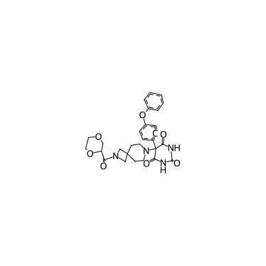 O=C1NC(=O)C(c2ccc(Oc3ccccc3)cc2)(N2CCC3(CC2)CN(C(=O)C2COCCO2)C3)C(=O)N1